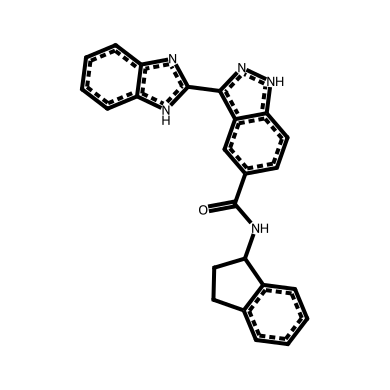 O=C(NC1CCc2ccccc21)c1ccc2[nH]nc(-c3nc4ccccc4[nH]3)c2c1